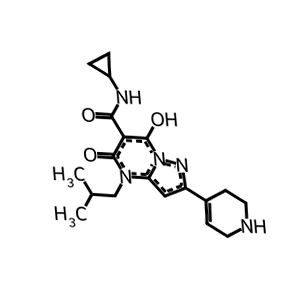 CC(C)Cn1c(=O)c(C(=O)NC2CC2)c(O)n2nc(C3=CCNCC3)cc12